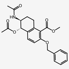 COC(=O)c1c(OCc2ccccc2)ccc2c1CC[C@H](NC(C)=O)[C@H]2OC(C)=O